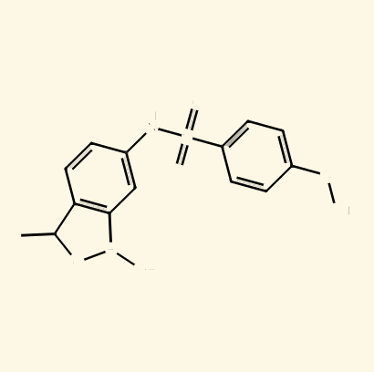 COc1ccc(S(=O)(=O)Nc2ccc3c(c2)B(O)OC3I)cc1